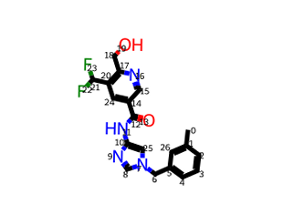 Cc1cccc(Cn2cnc(NC(=O)c3cnc(CO)c(C(F)F)c3)c2)c1